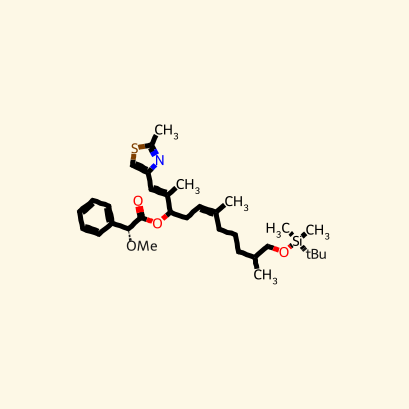 CO[C@@H](C(=O)OC(CC=C(C)CCCC(C)CO[Si](C)(C)C(C)(C)C)C(C)=Cc1csc(C)n1)c1ccccc1